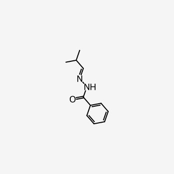 CC(C)C=NNC(=O)c1ccccc1